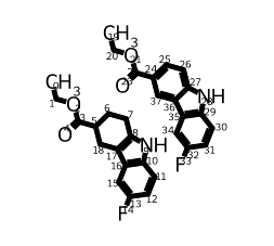 CCOC(=O)C1CCc2[nH]c3ccc(F)cc3c2C1.CCOC(=O)c1ccc2[nH]c3ccc(F)cc3c2c1